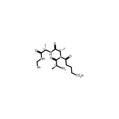 CC(C)CNC(=O)[C@H](C)NC(=O)[C@H](C)N(C(=O)CCCC(=O)O)C(=O)[C@H](C)N